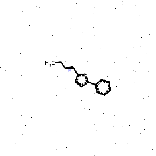 CC/C=C/c1ccc(-c2ccccc2)s1